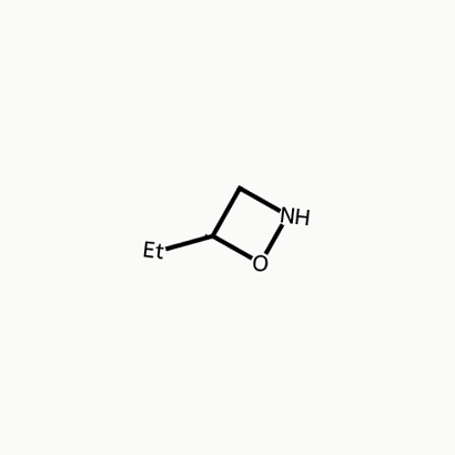 CC[C]1CNO1